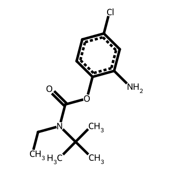 CCN(C(=O)Oc1ccc(Cl)cc1N)C(C)(C)C